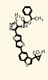 C[C@@H](OC(=O)Nc1c(-c2cc3sc(-c4ccc5scc(C6(C(=O)O)CC6)c5c4)cc3s2)nnn1C)c1ccccc1